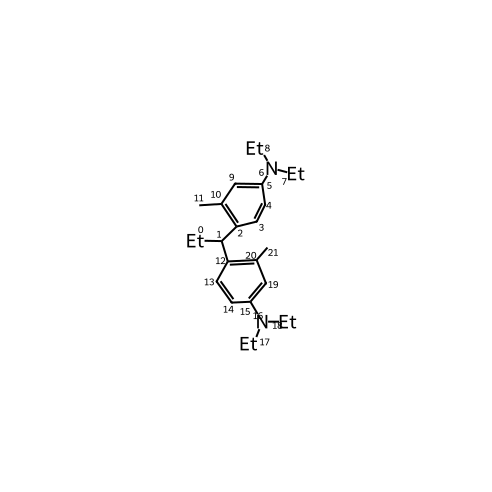 CCC(c1ccc(N(CC)CC)cc1C)c1ccc(N(CC)CC)cc1C